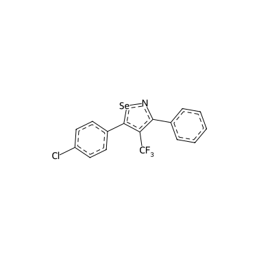 FC(F)(F)c1c(-c2ccccc2)n[se]c1-c1ccc(Cl)cc1